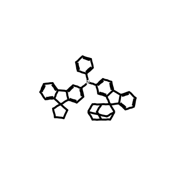 c1ccc(N(c2ccc3c(c2)-c2ccccc2C32CCCC2)c2ccc3c(c2)C2(c4ccccc4-3)C3CC4CC(C3)CC2C4)cc1